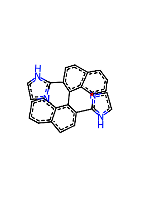 c1ccc2c(-c3c(-c4ncc[nH]4)ccc4ccccc34)c(-c3ncc[nH]3)ccc2c1